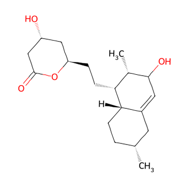 C[C@@H]1CC[C@H]2C(=CC(O)[C@@H](C)[C@H]2CC[C@@H]2C[C@@H](O)CC(=O)O2)C1